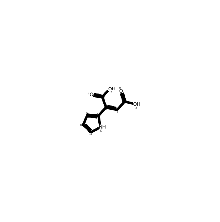 O=C(O)/C=C(\C(=O)O)c1ccc[nH]1